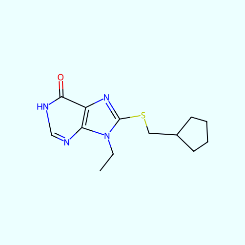 CCn1c(SCC2CCCC2)nc2c(=O)[nH]cnc21